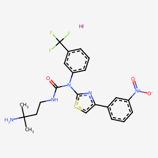 CC(C)(N)CCNC(=O)N(c1cccc(C(F)(F)F)c1)c1nc(-c2cccc([N+](=O)[O-])c2)cs1.I